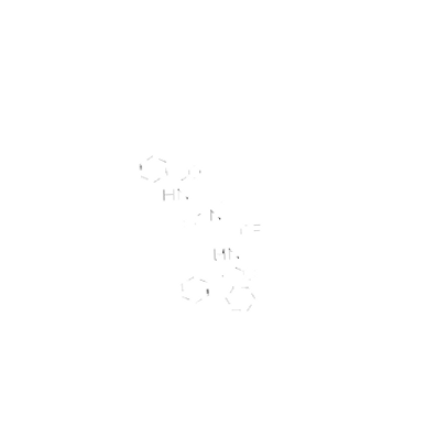 O=C(NC1CCN(CCCCC2(C(=O)NCC(F)(F)F)c3ccccc3-c3ccccc32)C1=O)c1ccccc1